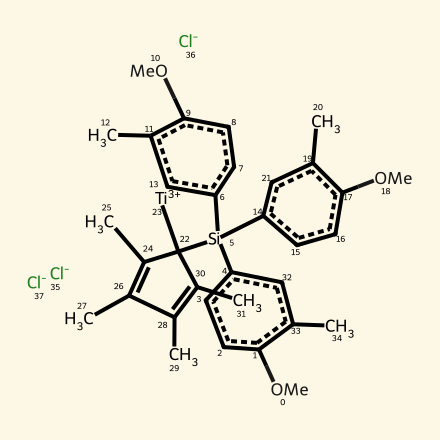 COc1ccc([Si](c2ccc(OC)c(C)c2)(c2ccc(OC)c(C)c2)[C]2([Ti+3])C(C)=C(C)C(C)=C2C)cc1C.[Cl-].[Cl-].[Cl-]